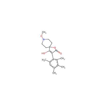 CON1CCC2(CC1)OC(=O)C(c1c(C)cc(C)c(C)c1C)=C2O